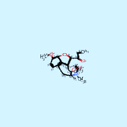 CCC(=O)[C@@H]1Oc2c(OC)ccc3c2[C@@]12CCN(C)[C@H](C3)[C@@]2(C)O